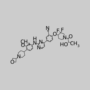 COc1cc(Nc2nccc(-c3ccc(OC4CCN(C(=O)C(C)O)CC4(F)F)c(C#N)c3)n2)ccc1C1CCN(C2COC2)CC1